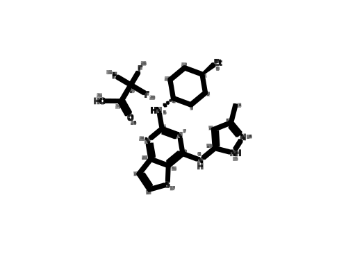 CC[C@H]1CC[C@H](Nc2nc(Nc3cc(C)n[nH]3)c3sccc3n2)CC1.O=C(O)C(F)(F)F